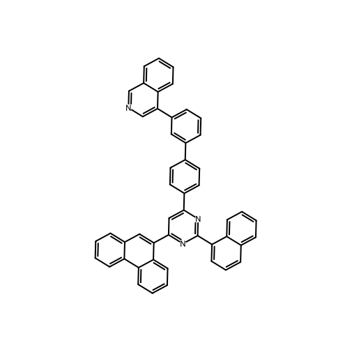 c1cc(-c2ccc(-c3cc(-c4cc5ccccc5c5ccccc45)nc(-c4cccc5ccccc45)n3)cc2)cc(-c2cncc3ccccc23)c1